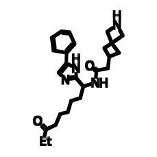 CCC(=O)CCCCCC(NC(=O)CC1CC2(CNC2)C1)c1ncc(-c2ccccc2)[nH]1